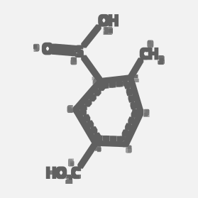 Cc1ccc(C(=O)O)cc1S(=O)O